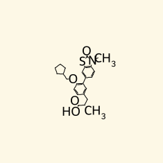 CC(Cc1ccc(OCC2CCCC2)c(-c2ccc3c(c2)sc(=O)n3C)c1)C(=O)O